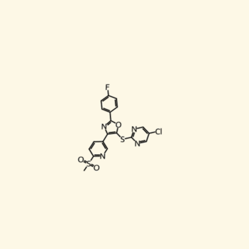 CS(=O)(=O)c1ccc(-c2nc(-c3ccc(F)cc3)oc2Sc2ncc(Cl)cn2)cn1